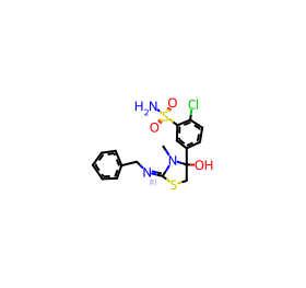 CN1/C(=N\Cc2ccccc2)SCC1(O)c1ccc(Cl)c(S(N)(=O)=O)c1